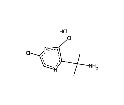 CC(C)(N)c1ncc(Cl)nc1Cl.Cl